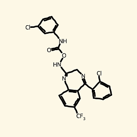 O=C(Nc1cccc(Cl)c1)ONC1=Nc2ccc(C(F)(F)F)cc2C(c2ccccc2Cl)=NC1